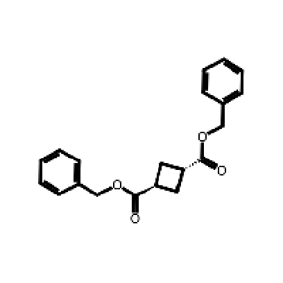 O=C(OCc1ccccc1)[C@H]1C[C@H](C(=O)OCc2ccccc2)C1